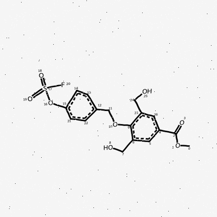 COC(=O)c1cc(CO)c(OCc2ccc(OS(=O)(=O)F)cc2)c(CO)c1